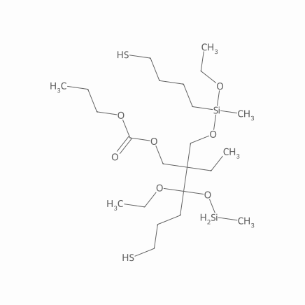 CCCOC(=O)OCC(CC)(CO[Si](C)(CCCCS)OCC)C(CCCS)(OCC)O[SiH2]C